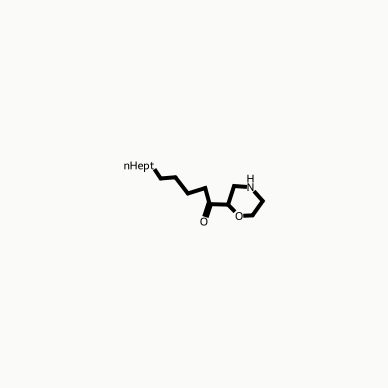 CCCCCCCCCCCC(=O)C1CNCCO1